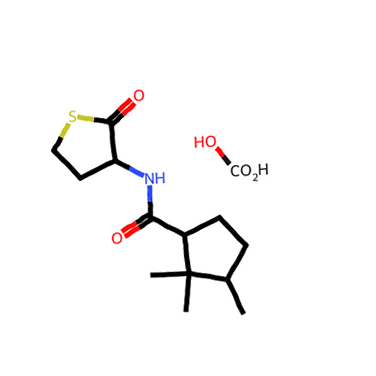 CC1CCC(C(=O)NC2CCSC2=O)C1(C)C.O=C(O)O